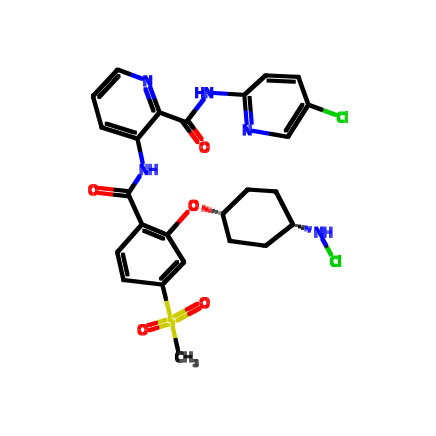 CS(=O)(=O)c1ccc(C(=O)Nc2cccnc2C(=O)Nc2ccc(Cl)cn2)c(O[C@H]2CC[C@@H](NCl)CC2)c1